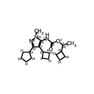 C[C@H](OC(=O)Nc1c(C2CCC2)c(C2CCCC2)nn1C)C1CCC1